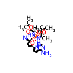 CC(C)OC(=O)[C@H](C)NP(=O)(N[C@@H](C)C(=O)OC(C)C)OC[C@]1(C#N)CC[C@H](c2ccc3c(N)ncnn23)O1